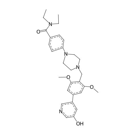 CCN(CC)C(=O)c1ccc(N2CCN(Cc3c(OC)cc(-c4cncc(O)c4)cc3OC)CC2)cc1